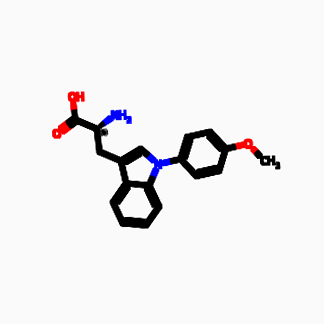 COc1ccc(-n2cc(C[C@H](N)C(=O)O)c3ccccc32)cc1